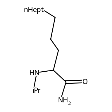 CCCCCCCCCCC(NC(C)C)C(N)=O